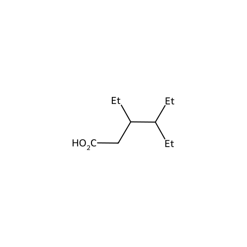 CCC(CC)C(CC)CC(=O)O